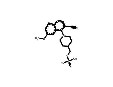 COc1ccc2ncc(C#N)c(N3CCC(COP(O)(O)=S)CC3)c2c1